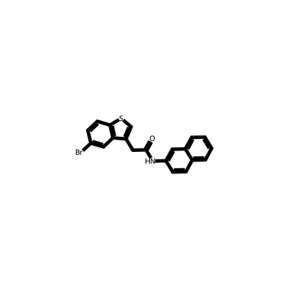 O=C([CH]c1csc2ccc(Br)cc12)Nc1ccc2ccccc2c1